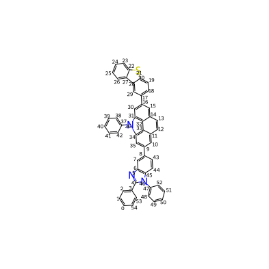 c1ccc(-c2nc3cc(-c4cc5ccc6cc(-c7ccc8sc9ccccc9c8c7)cc7c6c5c(c4)n7-c4ccccc4)ccc3n2-c2ccccc2)cc1